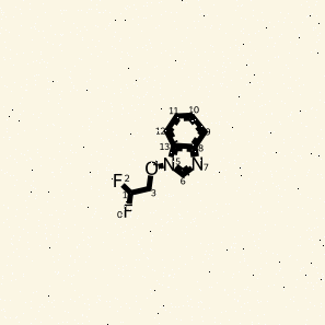 FC(F)COn1[c]nc2ccccc21